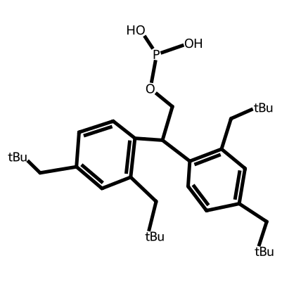 CC(C)(C)Cc1ccc(C(COP(O)O)c2ccc(CC(C)(C)C)cc2CC(C)(C)C)c(CC(C)(C)C)c1